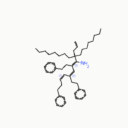 C=CCC(CCCCCCCC)(CCCCCCCC)/C(N)=C(/C=C(\C=C/CCc1ccccc1)CCc1ccccc1)CCc1ccccc1